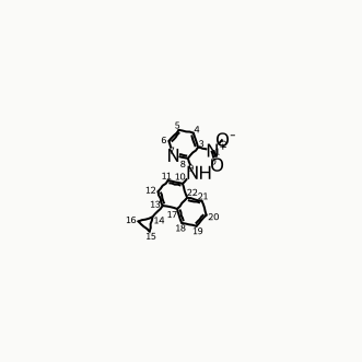 O=[N+]([O-])c1cccnc1Nc1ccc(C2CC2)c2ccccc12